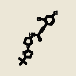 CC(C)(C)c1csc(N2CCC(NC(=O)C#Cc3ccc(Cl)cc3Cl)C2)n1